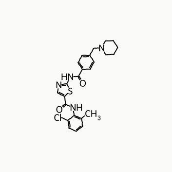 Cc1cccc(Cl)c1NC(=O)c1cnc(NC(=O)c2ccc(CN3CCCCC3)cc2)s1